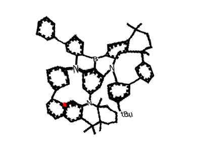 CC(C)(C)c1ccc2c(c1)-c1cccc(c1)C1(C)CCC(C)(C)c3cc4c(cc31)N2c1cc(N2c3ccccc3C(C)(C)C3(C)CCCCC23C)cc2c1B4c1ccc(-c3ccccc3)cc1N2c1cccc(-c2ccccc2)c1